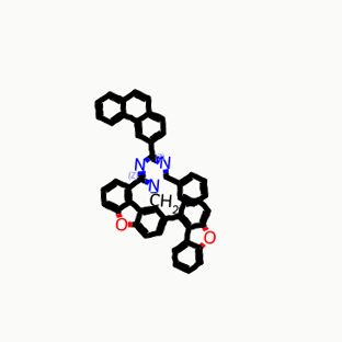 C=N/C(=N\C(=N/Cc1ccccc1)c1ccc2ccc3ccccc3c2c1)c1cccc2oc3ccc(-c4cccc5oc6ccccc6c45)cc3c12